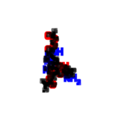 C/N=C\[C@@]1(c2ccc3c(NC(=O)OCOC(C)=O)ncnn23)O[C@H](COC(=O)C(C)C)[C@@H](OC(=O)[C@@H](N)C(C)(C)C)[C@H]1O